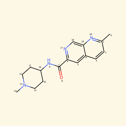 Cc1ccc2cc(C(=O)NC3CCN(C)CC3)ncc2n1